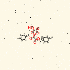 Cc1ccc(COC(=O)C(=O)OCc2ccc(C)cc2)cc1.O=C(O)C(=O)O